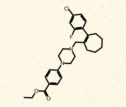 CCOC(=O)c1ccc(N2CCN(CC3=C(c4ccc(Cl)cc4F)CCCCC3)CC2)cc1